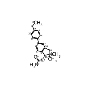 CCc1ccc(-c2ccc3c(c2)CC(C)(C)C3OC(N)=O)cc1